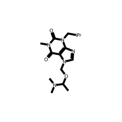 CC(C)Cn1c(=O)n(C)c(=O)c2c1ncn2COC(C)N(C)C